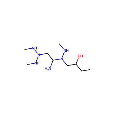 CCC(O)CN(NC)C(N)CN(NC)NC